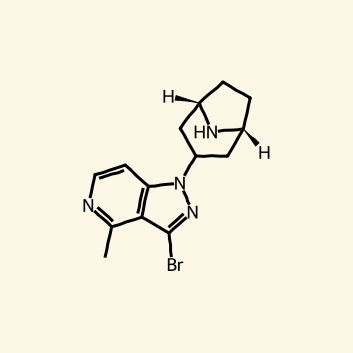 Cc1nccc2c1c(Br)nn2C1C[C@H]2CC[C@@H](C1)N2